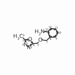 Cc1nnc(COCc2ccccc2N)o1